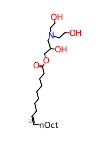 CCCCCCCC/C=C\CCCCCCCC(=O)OCC(O)CN(CCO)CCO